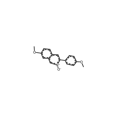 COc1ccc(-c2cc3ccc(OC)cc3c[n+]2[O-])cc1